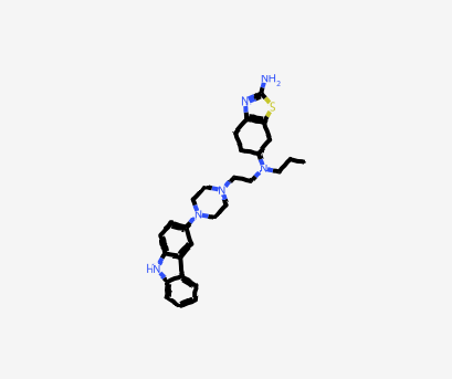 CCCN(CCN1CCN(c2ccc3[nH]c4ccccc4c3c2)CC1)C1CCc2nc(N)sc2C1